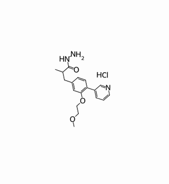 COCCOc1cc(CC(C)C(=O)NN)ccc1-c1cccnc1.Cl